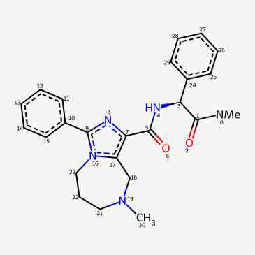 CNC(=O)[C@@H](NC(=O)c1nc(-c2ccccc2)n2c1CN(C)CCC2)c1ccccc1